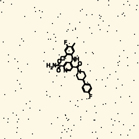 Cc1cc(Nc2cc(S(N)(=O)=O)ncc2C(=O)N2CCC(c3ccc(F)cc3)CC2)c(Cl)cc1F